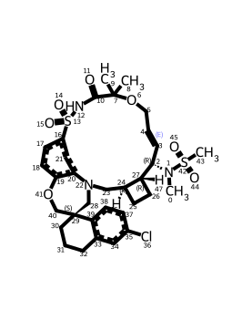 CN([C@H]1/C=C/COC(C)(C)C(=O)NS(=O)(=O)c2ccc3c(c2)N(C[C@@H]2CC[C@H]21)C[C@@]1(CCCc2cc(Cl)ccc21)CO3)S(C)(=O)=O